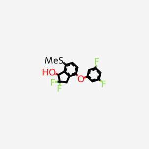 CSc1ccc(Oc2cc(F)cc(F)c2)c2c1C(O)C(F)(F)C2